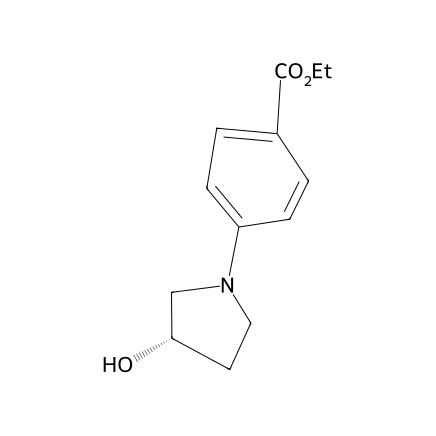 CCOC(=O)c1ccc(N2CC[C@H](O)C2)cc1